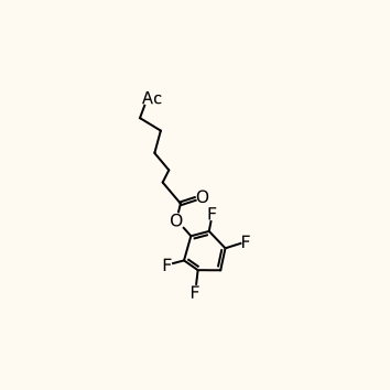 CC(=O)CCCCCC(=O)Oc1c(F)c(F)cc(F)c1F